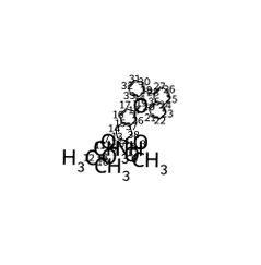 COC(=O)C1(NC(=O)OC(C)(C)C)CCc2ccc(Oc3cccc4cccc(-c5ccccc5)c34)cc2C1